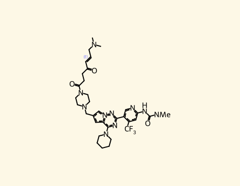 CNC(=O)Nc1cc(C(F)(F)F)c(-c2nc(N3CCCCC3)c3cc(CN4CCN(C(=O)CCC(=O)/C=C/CN(C)C)CC4)cn3n2)cn1